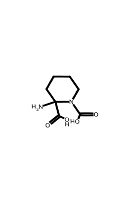 NC1(C(=O)O)CCCCN1C(=O)O